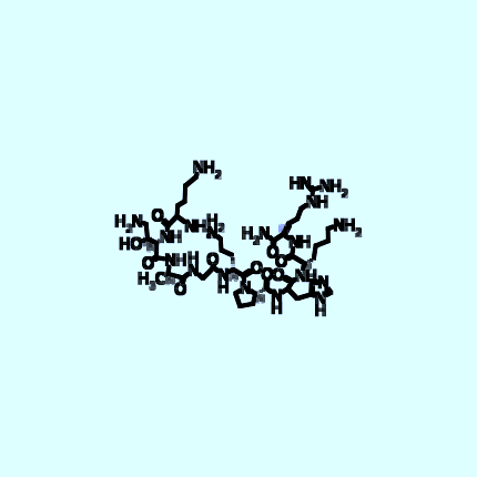 C[C@H](NC(=O)[C@@H](NC(=O)C(N)CCCCN)[C@@H](O)CN)C(=O)NCC(=O)N[C@H](CCCN)C(=O)N1CCC[C@H]1C(=O)NC(Cc1cnc[nH]1)C(=O)N[C@@H](CCCCN)C(=O)N/C(=C\CCNC(=N)N)C(N)=O